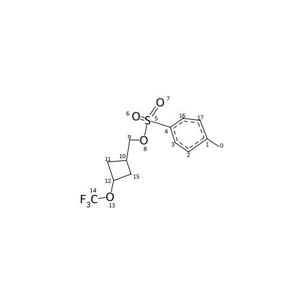 Cc1ccc(S(=O)(=O)OCC2CC(OC(F)(F)F)C2)cc1